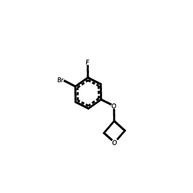 Fc1cc(OC2COC2)ccc1Br